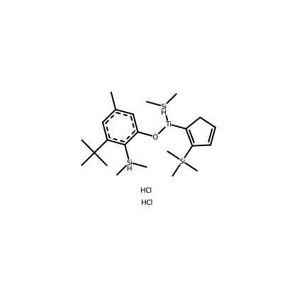 Cc1cc([O][Ti]([C]2=C([Si](C)(C)C)C=CC2)[SiH](C)C)c([SiH](C)C)c(C(C)(C)C)c1.Cl.Cl